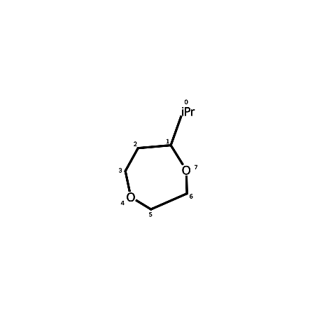 CC(C)C1CCOCCO1